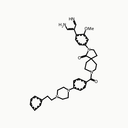 COc1cc(N2CCC3(CCN(C(=O)c4ccc(N5CCN(CCc6ccccc6)CC5)cc4)CC3)C2=O)ccc1/C(C=N)=C/N